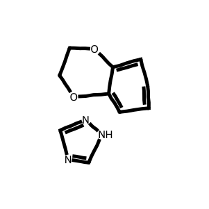 c1ccc2c(c1)OCCO2.c1nc[nH]n1